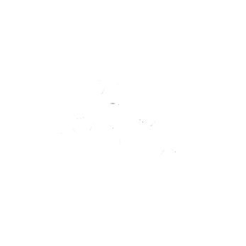 CN(C)C(=O)CCC(=O)N1C[C@H](c2ccc(Cl)c(Cl)c2)[C@@H](N(C)Cc2ccc(C(F)(F)F)c(F)c2)C1